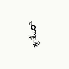 CN[C@H](COC(=O)C(C)(C)C)CSCc1ccc(OC)cc1